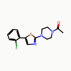 CC(=O)N1CCN(c2ncc(-c3ccccc3F)s2)CC1